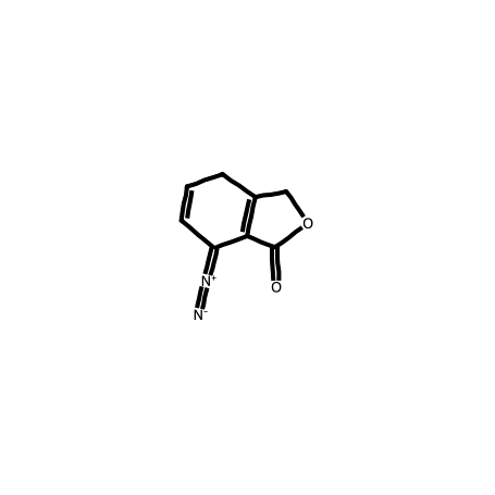 [N-]=[N+]=C1C=CCC2=C1C(=O)OC2